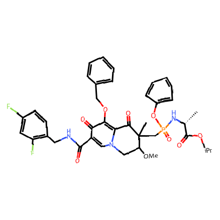 COC1Cn2cc(C(=O)NCc3ccc(F)cc3F)c(=O)c(OCc3ccccc3)c2C(=O)C1(C)CP(=O)(N[C@H](C)C(=O)OC(C)C)Oc1ccccc1